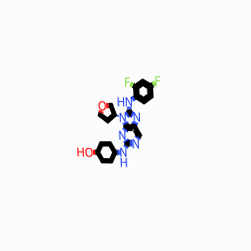 OC1CCC(Nc2ncc3nc(Nc4ccc(F)cc4F)n([C@@H]4CCOC4)c3n2)CC1